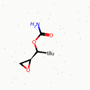 CC(C)(C)C(OC(N)=O)[C@@H]1CO1